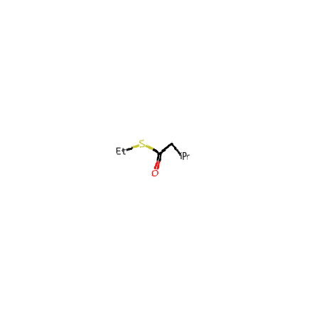 [CH2]CSC(=O)CC(C)C